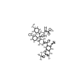 CCc1cccc(-c2c(Cl)cccc2C(O)(CCCNC(=O)OC)[C@@H]2CCCN(C(=O)c3ccc(CN(C)C(=O)OC(C)(C)C)cc3C#N)C2)c1